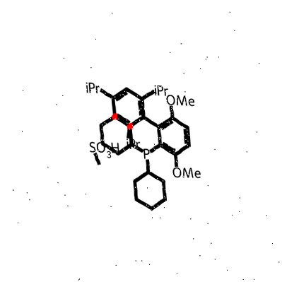 COc1ccc(OC)c(P(C2CCCCC2)C2CCCCC2)c1-c1c(C(C)C)cc(C(C)C)cc1C(C)C.CS(=O)(=O)O